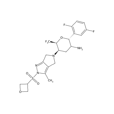 Cc1c2c(nn1S(=O)(=O)C1COC1)CN([C@@H]1CC(N)[C@@H](c3cc(F)ccc3F)O[C@@H]1C(F)(F)F)C2